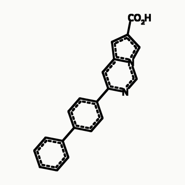 O=C(O)c1cc2cc(-c3ccc(-c4ccccc4)cc3)ncn2c1